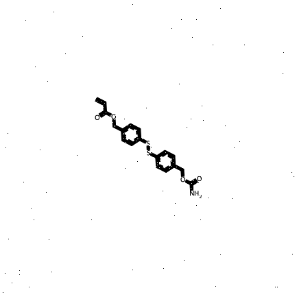 C=CC(=O)OCc1ccc(SSc2ccc(COC(N)=O)cc2)cc1